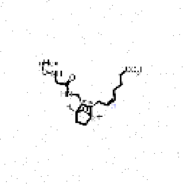 CCCCCCONCC(=O)NC[C@H]1[C@@H](C/C=C\CCCC(=O)O)[C@H]2CC[C@@H]1O2